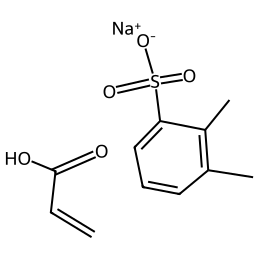 C=CC(=O)O.Cc1cccc(S(=O)(=O)[O-])c1C.[Na+]